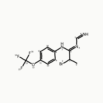 CC(Br)/C(=N/C=N)Nc1ccc(OC(F)(F)F)cc1